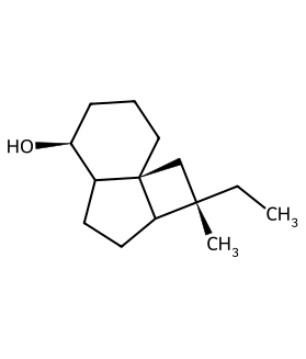 CC[C@@]1(C)C[C@]23CCC[C@H](O)C2CCC13